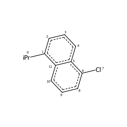 CC(C)c1cccc2c(Cl)cccc12